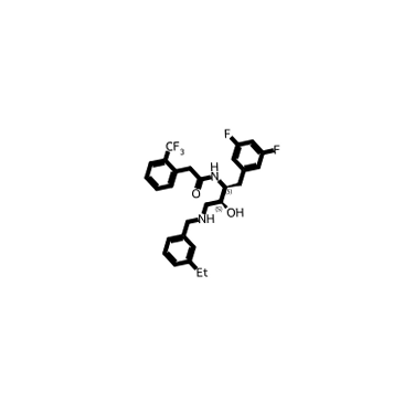 CCc1cccc(CNC[C@H](O)[C@H](Cc2cc(F)cc(F)c2)NC(=O)Cc2ccccc2C(F)(F)F)c1